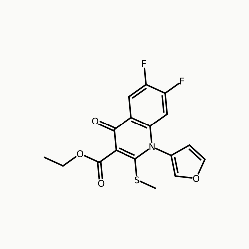 CCOC(=O)c1c(SC)n(-c2ccoc2)c2cc(F)c(F)cc2c1=O